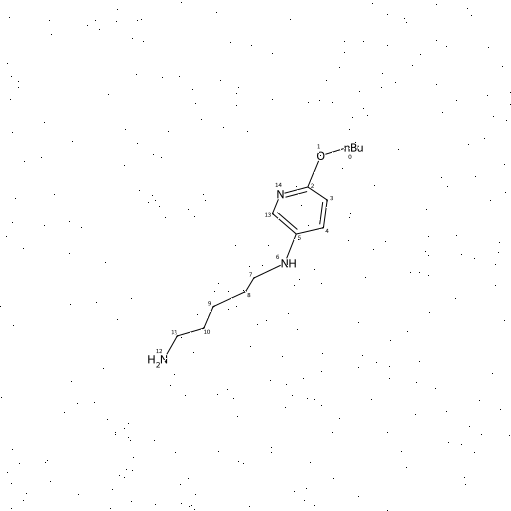 CCCCOc1ccc(NCCCCCN)cn1